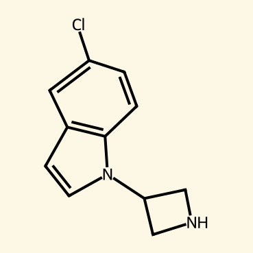 Clc1ccc2c(ccn2C2CNC2)c1